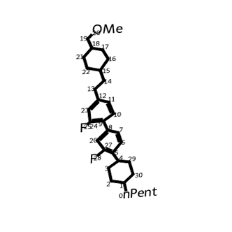 CCCCCC1CCC(c2ccc(-c3ccc(CCC4CCC(COC)CC4)cc3F)cc2F)CC1